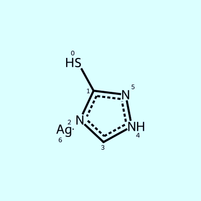 Sc1nc[nH]n1.[Ag]